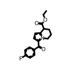 CCOC(=O)C1CCCn2c(C(=O)c3ccc(F)cc3)ccc21